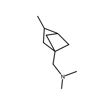 CC1CC2(CN(C)C)CC1C2